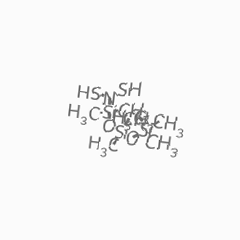 C[Si](C)(C)O[Si](C)(C)O[Si](C)(C)N(S)S